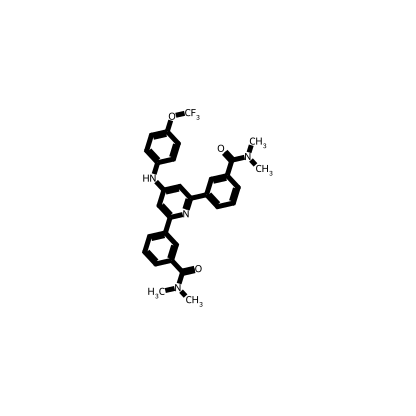 CN(C)C(=O)c1cccc(-c2cc(Nc3ccc(OC(F)(F)F)cc3)cc(-c3cccc(C(=O)N(C)C)c3)n2)c1